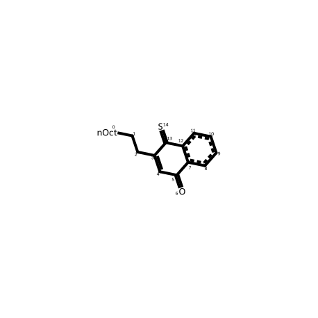 CCCCCCCCCCC1=CC(=O)c2ccccc2C1=S